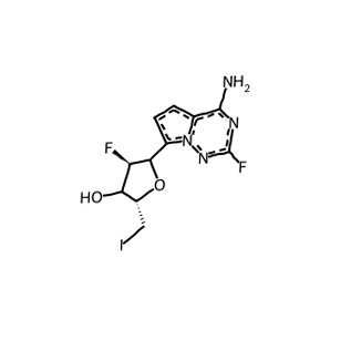 Nc1nc(F)nn2c(C3O[C@H](CI)C(O)[C@H]3F)ccc12